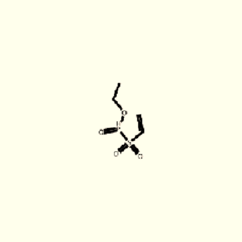 C=CS(=O)(=O)[PH](=O)OCC